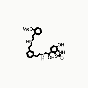 COc1ccccc1CCNCCc1cccc(CCNCC(O)c2ccc(O)c3[nH]c(=O)sc23)c1